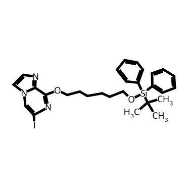 CC(C)(C)[Si](OCCCCCCOc1nc(I)cn2ccnc12)(c1ccccc1)c1ccccc1